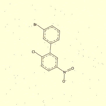 O=[N+]([O-])c1c[c]c(Cl)c(-c2cccc(Br)c2)c1